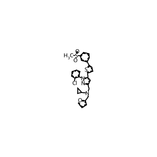 CS(=O)(=O)c1cccc(-c2ccc(-c3cc(CN(Cc4ccco4)C4CC4)nn3-c3ccccc3Cl)s2)c1